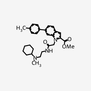 COC(=O)c1cc2ccc(-c3ccc(C)cc3)cc2n1CC(=O)NCCN(C)C1CCCCC1